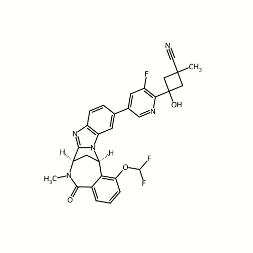 CN1C(=O)c2cccc(OC(F)F)c2[C@H]2C[C@@H]1c1nc3ccc(-c4cnc(C5(O)CC(C)(C#N)C5)c(F)c4)cc3n12